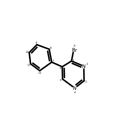 Brc1n[c]ncc1-c1ccccc1